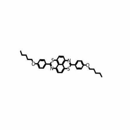 CCCCCOc1ccc(C2=Nc3ccc4c5c(ccc(c35)S2)N=C(c2ccc(OCCCCC)cc2)S4)cc1